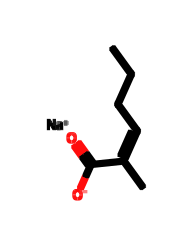 CCCC=C(C)C(=O)[O-].[Na+]